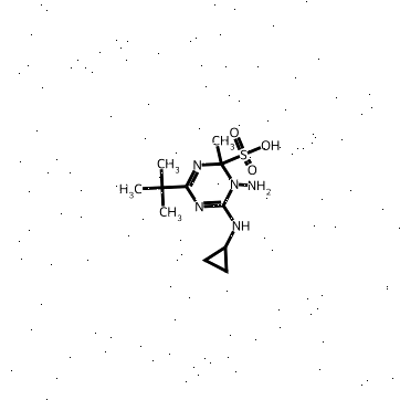 CC(C)(C)C1=NC(C)(S(=O)(=O)O)N(N)C(NC2CC2)=N1